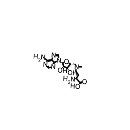 CN(CC[C@H](N)C(=O)O)C[C@H]1O[C@@H](n2cnc3c(N)ncnc32)[C@H](O)[C@@H]1O